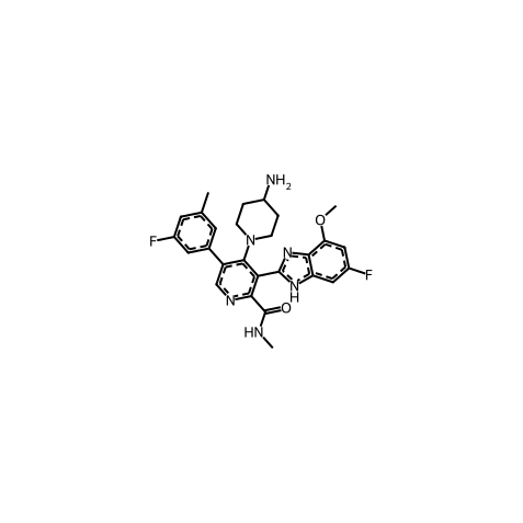 CNC(=O)c1ncc(-c2cc(C)cc(F)c2)c(N2CCC(N)CC2)c1-c1nc2c(OC)cc(F)cc2[nH]1